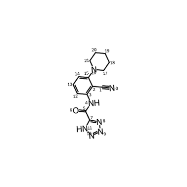 N#Cc1c(NC(=O)c2nnn[nH]2)cccc1N1CCCCC1